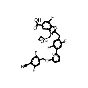 N#Cc1cc(F)c(COc2cccc(-c3cc(F)c(Cc4nc5c(F)cc(C(=O)O)cc5n4C[C@@H]4CCO4)cc3F)n2)cc1F